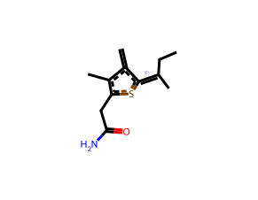 C=c1c(C)c(CC(N)=O)s/c1=C(\C)CC